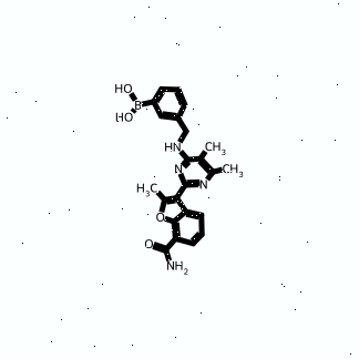 Cc1nc(-c2c(C)oc3c(C(N)=O)cccc23)nc(NCc2cccc(B(O)O)c2)c1C